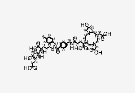 O=C(O)CC[C@@H](NC(=O)N[C@H](CCCCN(Cc1ccc(I)cc1)C(=O)c1ccc(CNC(=O)CCC(C(=O)O)N2CCN(CC(=O)O)CCN(CC(=O)O)CCN(CC(=O)O)CC2)cc1)C(=O)O)C(=O)O